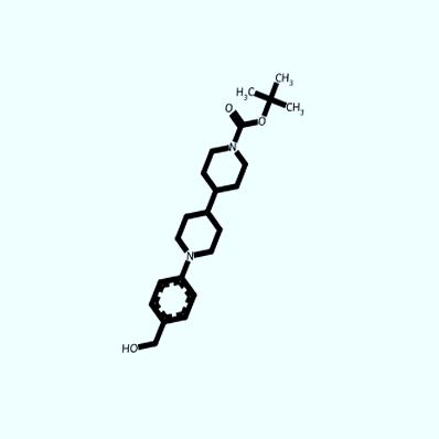 CC(C)(C)OC(=O)N1CCC(C2CCN(c3ccc(CO)cc3)CC2)CC1